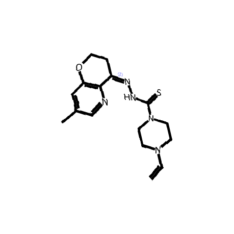 C=CN1CCN(C(=S)N/N=C2/CCOc3cc(C)cnc32)CC1